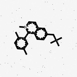 Cc1ccc(C)c(-c2c3ccc(CC(C)(C)C)cc3cc[n+]2C)c1